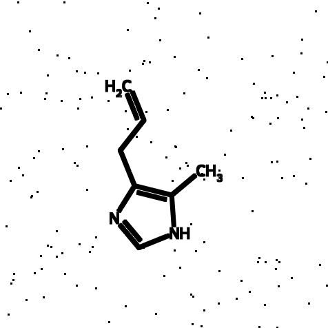 C=CCc1nc[nH]c1C